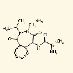 CC(C)N1C(=O)c2ccccc2C(NC(=O)[C@H](C)N)C(=O)N1C.N